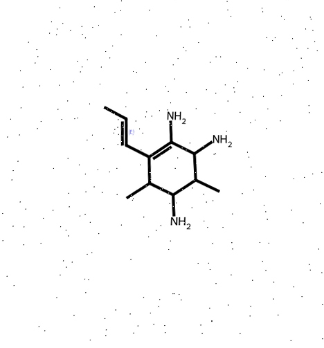 C/C=C/C1=C(N)C(N)C(C)C(N)C1C